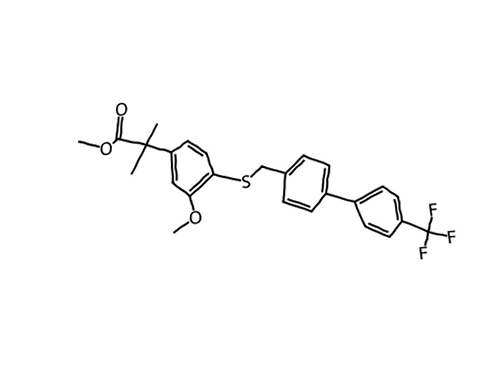 COC(=O)C(C)(C)c1ccc(SCc2ccc(-c3ccc(C(F)(F)F)cc3)cc2)c(OC)c1